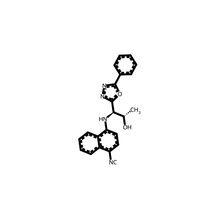 [C-]#[N+]c1ccc(N[C@@H](c2nnc(-c3ccccc3)o2)[C@H](C)O)c2ccccc12